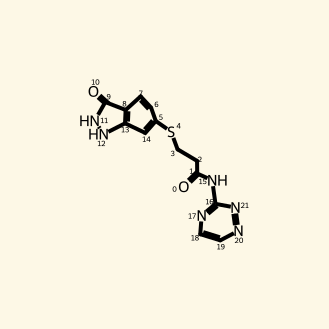 O=C(CCSc1ccc2c(=O)[nH][nH]c2c1)Nc1nccnn1